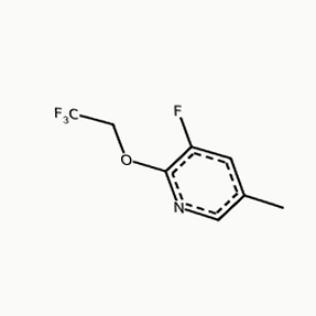 Cc1cnc(OCC(F)(F)F)c(F)c1